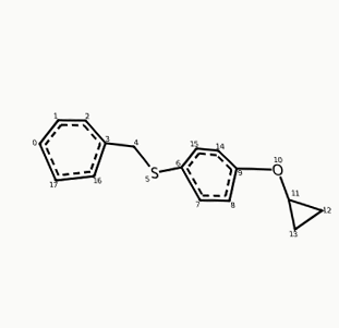 c1ccc(CSc2ccc(OC3CC3)cc2)cc1